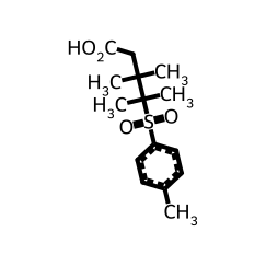 Cc1ccc(S(=O)(=O)C(C)(C)C(C)(C)CC(=O)O)cc1